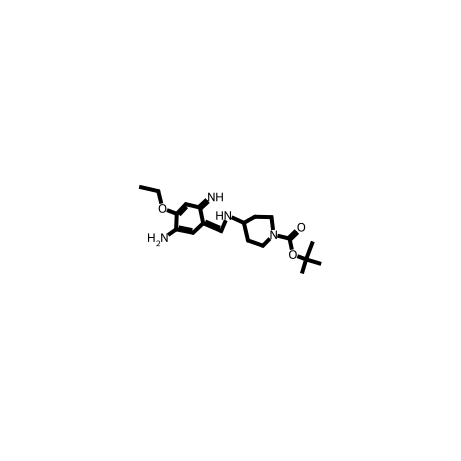 CCOC1=CC(=N)/C(=C\NC2CCN(C(=O)OC(C)(C)C)CC2)C=C1N